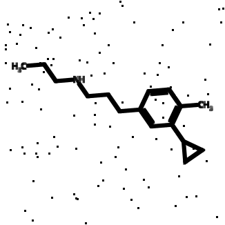 CCCNCCCc1ccc(C)c(C2CC2)c1